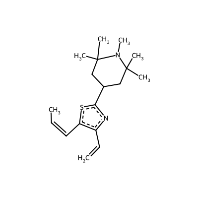 C=Cc1nc(C2CC(C)(C)N(C)C(C)(C)C2)sc1/C=C\C